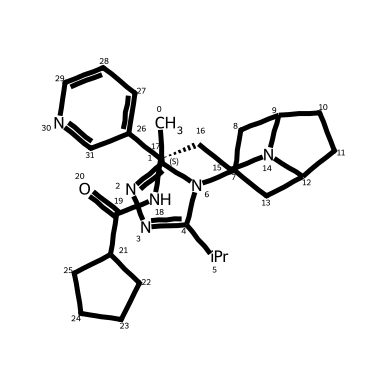 Cc1nnc(C(C)C)n1C1CC2CCC(C1)N2CC[C@H](NC(=O)C1CCCC1)c1cccnc1